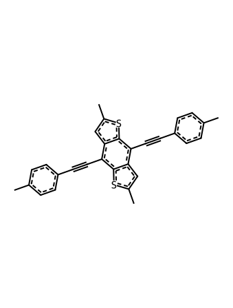 Cc1ccc(C#Cc2c3cc(C)sc3c(C#Cc3ccc(C)cc3)c3cc(C)sc23)cc1